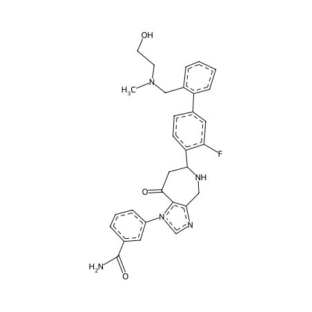 CN(CCO)Cc1ccccc1-c1ccc(C2CC(=O)c3c(ncn3-c3cccc(C(N)=O)c3)CN2)c(F)c1